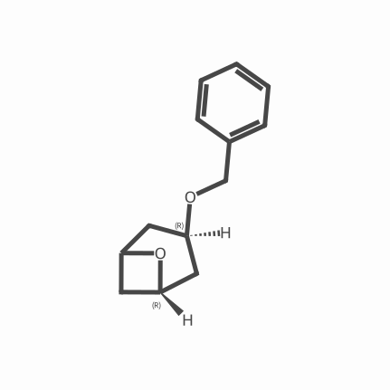 c1ccc(CO[C@@H]2CC3C[C@@H](C2)O3)cc1